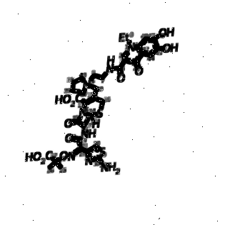 CCn1cc(C(=O)NCC[N+]2(CC3=C(C(=O)O)N4C(=O)[C@@H](NC(=O)/C(=N\OC(C)(C)C(=O)O)c5csc(N)n5)[C@H]4SC3)CCCC2)c(=O)c2cc(O)c(O)cc21